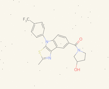 Cc1nc2c3cc(C(=O)N4CCC(O)C4)ccc3n(-c3ccc(C(F)(F)F)cc3)c2s1